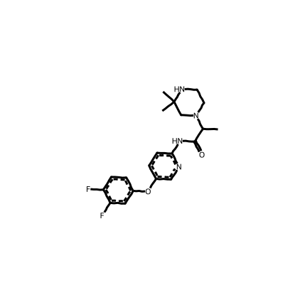 CC(C(=O)Nc1ccc(Oc2ccc(F)c(F)c2)cn1)N1CCNC(C)(C)C1